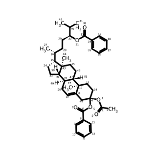 CC(=O)O[C@]1(OC(=O)c2ccccc2)CC[C@@]2(C)C(=CC[C@H]3[C@@H]4CC[C@H]([C@H](C)CC[C@H](OC(=O)c5ccccc5)C(C)C)[C@@]4(C)CC[C@@H]32)C1